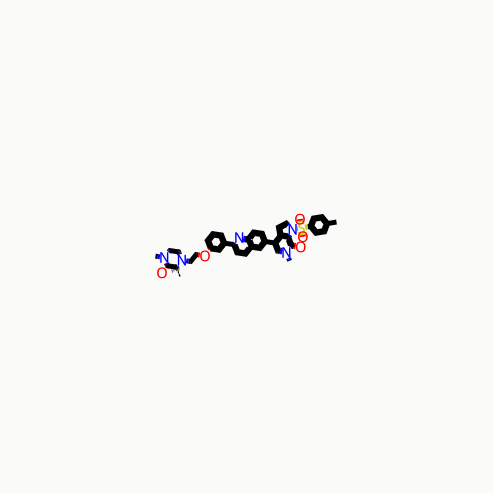 Cc1ccc(S(=O)(=O)n2ccc3c(-c4ccc5nc(-c6cccc(OCCN7CCN(C)C(=O)[C@H]7C)c6)ccc5c4)cn(C)c(=O)c32)cc1